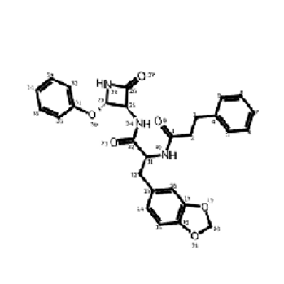 O=C(CCc1ccccc1)N[C@@H](Cc1ccc2c(c1)OCO2)C(=O)N[C@@H]1C(=O)N[C@H]1Oc1ccccc1